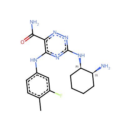 Cc1ccc(Nc2nc(N[C@@H]3CCCC[C@@H]3N)nnc2C(N)=O)cc1F